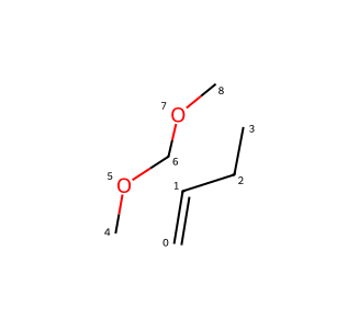 C=CCC.COCOC